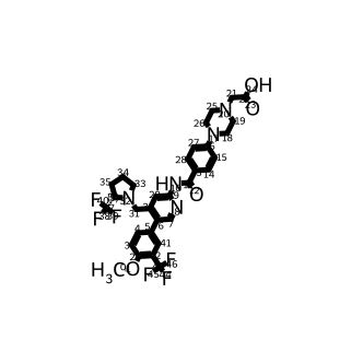 COc1ccc(-c2cnc(NC(=O)c3ccc(N4CCN(CC(=O)O)CC4)cc3)cc2CN2CCC[C@H]2C(F)(F)F)cc1C(F)(F)F